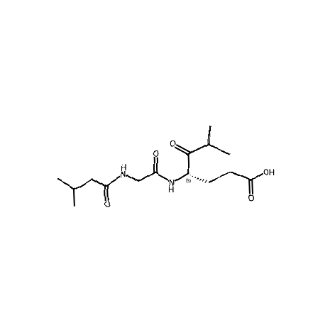 CC(C)CC(=O)NCC(=O)N[C@@H](CCC(=O)O)C(=O)C(C)C